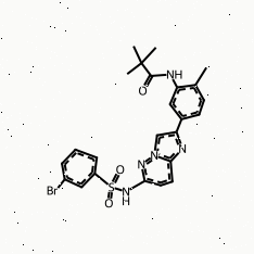 Cc1ccc(-c2cn3nc(NS(=O)(=O)c4cccc(Br)c4)ccc3n2)cc1NC(=O)C(C)(C)C